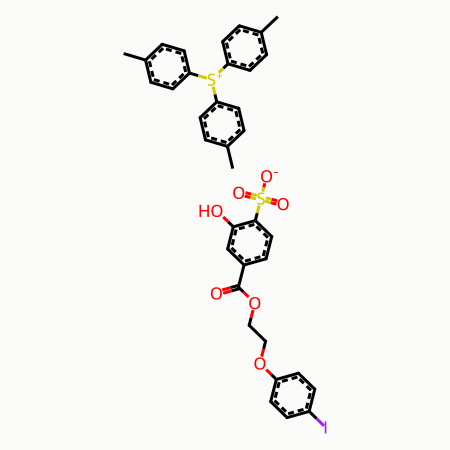 Cc1ccc([S+](c2ccc(C)cc2)c2ccc(C)cc2)cc1.O=C(OCCOc1ccc(I)cc1)c1ccc(S(=O)(=O)[O-])c(O)c1